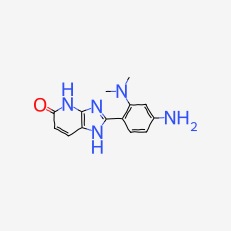 CN(C)c1cc(N)ccc1-c1nc2[nH]c(=O)ccc2[nH]1